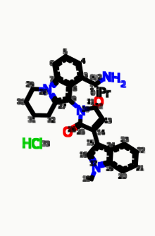 CC(C)[C@H](N)c1cccc2c1c(N1C(=O)C=C(c3cn(C)c4ccccc34)C1=O)c1n2CCCC1.Cl